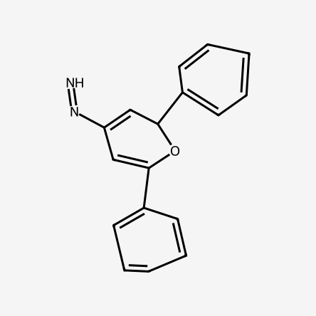 N=NC1=CC(c2ccccc2)OC(c2ccccc2)=C1